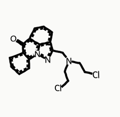 O=c1c2ccccc2n2nc(CN(CCCl)CCCl)c3cccc1c32